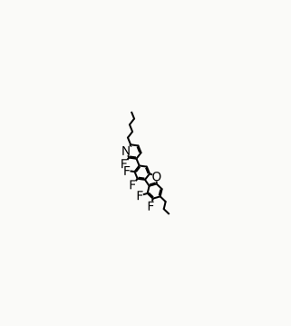 CCCCCc1ccc(-c2cc3oc4cc(CCC)c(F)c(F)c4c3c(F)c2F)c(F)n1